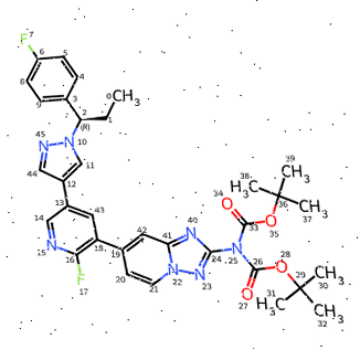 CC[C@H](c1ccc(F)cc1)n1cc(-c2cnc(F)c(-c3ccn4nc(N(C(=O)OC(C)(C)C)C(=O)OC(C)(C)C)nc4c3)c2)cn1